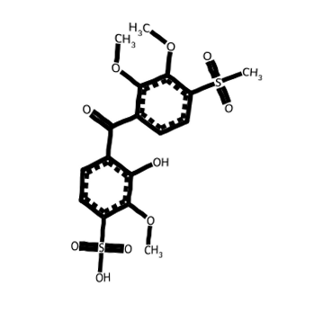 COc1c(S(=O)(=O)O)ccc(C(=O)c2ccc(S(C)(=O)=O)c(OC)c2OC)c1O